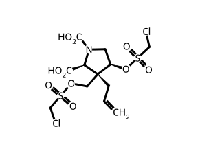 C=CC[C@]1(COS(=O)(=O)CCl)[C@H](OS(=O)(=O)CCl)CN(C(=O)O)[C@@H]1C(=O)O